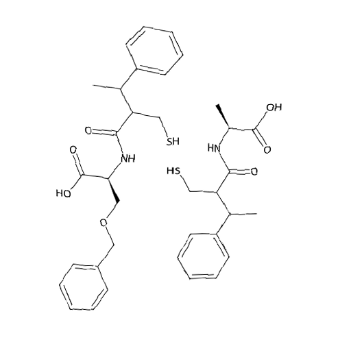 CC(c1ccccc1)C(CS)C(=O)N[C@@H](C)C(=O)O.CC(c1ccccc1)C(CS)C(=O)N[C@@H](COCc1ccccc1)C(=O)O